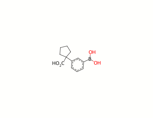 O=C(O)C1(c2cccc(B(O)O)c2)CCCC1